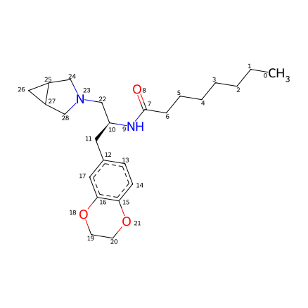 CCCCCCCC(=O)N[C@@H](Cc1ccc2c(c1)OCCO2)CN1CC2CC2C1